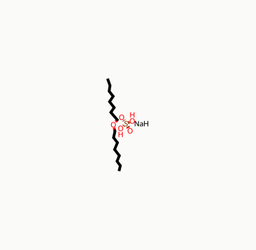 CCCCCCCCOCCCCCCCC.O=S(=O)(O)O.[NaH]